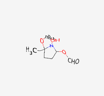 CCCCOC1(C)CCC(OC=O)N1O